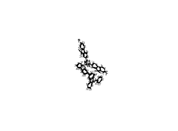 CC1(C)c2cc(F)ccc2-c2ccc(-c3nc(-c4ccc5c(c4)C(C)(C)c4cc(F)ccc4-5)nc(-n4c5ccccc5c5ccc(-c6ccc7c(c6)c6ccccc6n7-c6ccccc6)cc54)n3)cc21